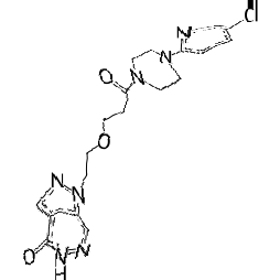 O=C(CCOCCn1ncc2c(=O)[nH]ncc21)N1CCN(c2ccc(Cl)cn2)CC1